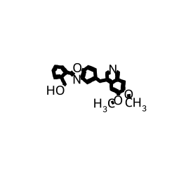 COc1cc2cncc(Cc3ccc4oc(-c5ccccc5CO)nc4c3)c2cc1OC